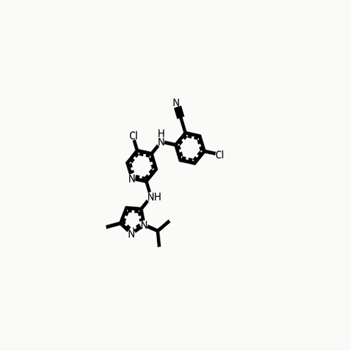 Cc1cc(Nc2cc(Nc3ccc(Cl)cc3C#N)c(Cl)cn2)n(C(C)C)n1